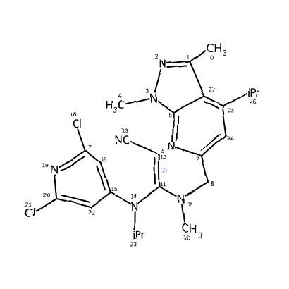 Cc1nn(C)c2nc(CN(C)/C(=C/C#N)N(c3cc(Cl)nc(Cl)c3)C(C)C)cc(C(C)C)c12